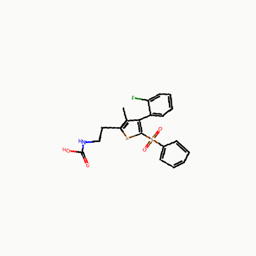 Cc1c(CCNC(=O)O)sc(S(=O)(=O)c2ccccc2)c1-c1ccccc1F